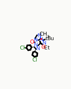 CCOc1nc(C(C)(C)C)ncc1C1=N[C@@H](c2ccc(Cl)cc2)[C@@H](c2ccc(Cl)cc2)N1C(=O)N1CCN(C)CC1